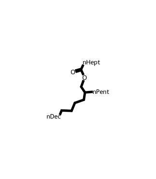 CCCCCCCCCCCCCCC(CCCCC)COC(=O)CCCCCCC